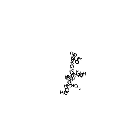 CC(C)c1ccccc1C1CN(S(C)(=O)=O)CCN1C1CC2(CCN(c3ccc(C(=O)NS(=O)(=O)c4ccc(NCC5CCC(C)(O)CC5)c([N+](=O)[O-])c4)c(Oc4cnc5[nH]ccc5c4)c3)CC2)C1